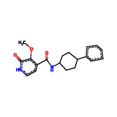 COc1c(C(=O)NC2CCC(c3ccccc3)CC2)cc[nH]c1=O